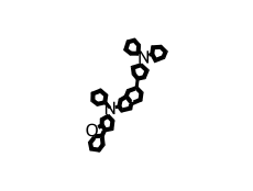 c1ccc(N(c2ccccc2)c2ccc(-c3ccc4ccc(N(c5ccccc5)c5ccc6c(c5)oc5ccccc56)cc4c3)cc2)cc1